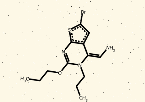 CCCOC1=Nc2sc(Br)cc2/C(=C\N)N1CCC